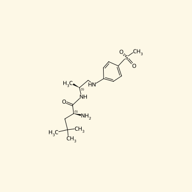 C[C@@H](CNc1ccc(S(C)(=O)=O)cc1)NC(=O)[C@@H](N)CC(C)(C)C